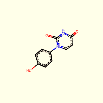 O=c1ccn(-c2ccc(O)cc2)c(=O)[nH]1